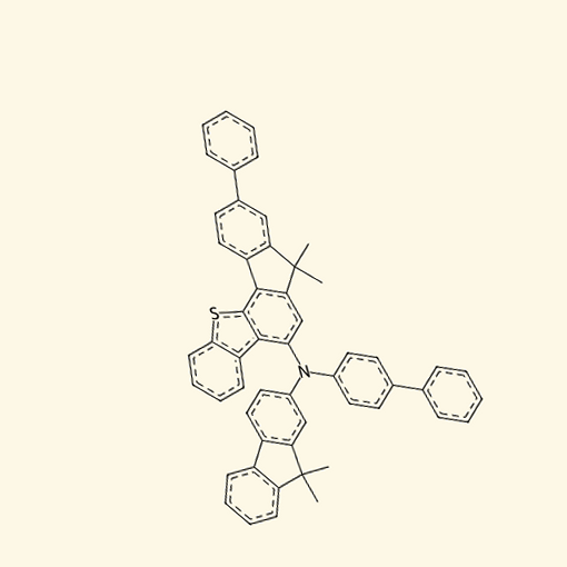 CC1(C)c2ccccc2-c2ccc(N(c3ccc(-c4ccccc4)cc3)c3cc4c(c5sc6ccccc6c35)-c3ccc(-c5ccccc5)cc3C4(C)C)cc21